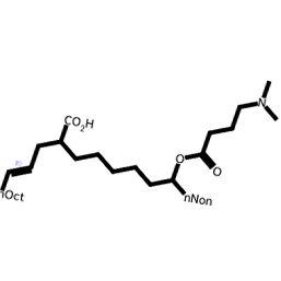 CCCCCCCC/C=C/CC(CCCCCC(CCCCCCCCC)OC(=O)CCCN(C)C)C(=O)O